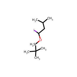 CC(C)CC(I)O[SiH2]C(C)(C)C